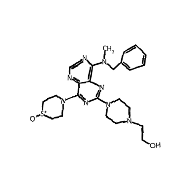 CN(Cc1ccccc1)c1ncnc2c(N3CC[S+]([O-])CC3)nc(N3CCN(CCO)CC3)nc12